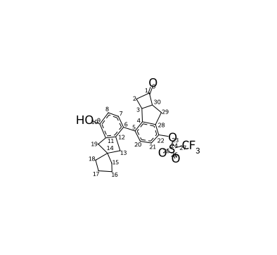 O=C1CC2c3c(-c4ccc(O)c5c4CC4(CCCC4)C5)ccc(OS(=O)(=O)C(F)(F)F)c3CC12